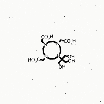 O=C(O)CN1CCN(CC(=O)O)CCN(C(CO)(CO)CO)CCN(CC(=O)O)CC1